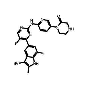 Cc1[nH]c2c(F)cc(-c3nc(Nc4ccc(N5CCNCC5=O)cn4)ncc3F)cc2c1C(C)C